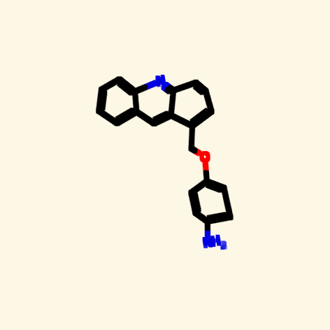 Nc1ccc(OCc2cccc3nc4ccccc4cc23)cc1